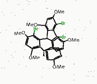 COc1ccc(C2C(Br)c3c(Br)c(OC)cc(OC)c3C2c2c(Br)c(OC)cc(OC)c2[C@H](C)c2ccc(OC)cc2)cc1